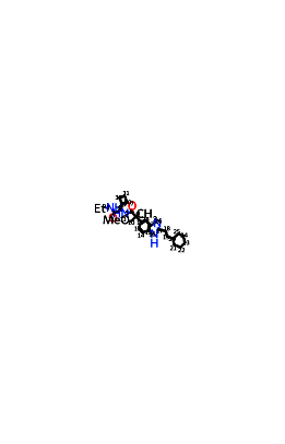 CCNC(=O)C(NC(=O)C(C)(COC)c1ccc2[nH]c(CCC3CCCCC3)nc2c1)C1CCC1